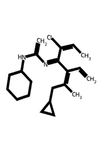 C=CC(=C(C)CC1CC1)C(=N/C(=C)NC1CCCCC1)/C(Cl)=C\C